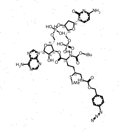 CSS[C@@H](CC[C@H](NC(=O)OC(C)(C)C)C(=O)O[C@H]1[C@@H](O)[C@H](n2cnc3c(N)ncnc32)O[C@@H]1CO[PH](O)(O)O[C@H]1C[C@H](n2ccc(N)nc2=O)O[C@@H]1COP(=O)(O)O)CNC(=O)OCc1ccc(N=[N+]=[N-])cc1